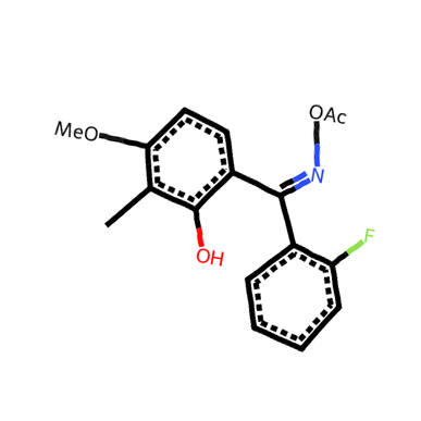 COc1ccc(/C(=N\OC(C)=O)c2ccccc2F)c(O)c1C